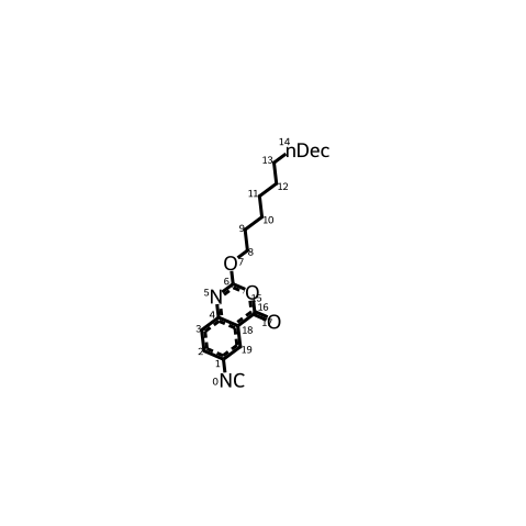 [C-]#[N+]c1ccc2nc(OCCCCCCCCCCCCCCCC)oc(=O)c2c1